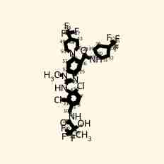 Cn1c(Nc2c(Cl)ccc(CNC(=O)[C@@](C)(O)C(F)(F)F)c2Cl)nc2cc(C(=O)NC3CCC(C(F)(F)F)CC3)c(N3CCC(C(F)(F)F)CC3)cc21